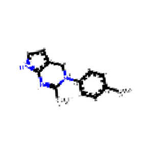 CCOC(=O)C1=Nc2[nH]ccc2CN1c1ccc(OC)cc1